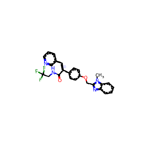 Cn1c(COc2ccc(/C(=C/c3cccnc3)C(=O)NCC(F)(F)F)cc2)nc2ccccc21